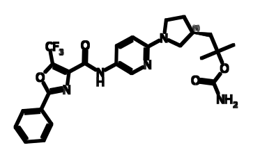 CC(C)(C[C@@H]1CCN(c2ccc(NC(=O)c3nc(-c4ccccc4)oc3C(F)(F)F)cn2)C1)OC(N)=O